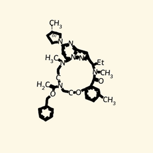 C=C(OCc1ccccc1)N1CCOc2ccc(C)cc2C(=O)N(C)C(CC)c2cc3nc(N4CC[C@H](C)C4)cc(n3n2)N(C)CC1